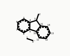 [CH2]C.[CH2]C1c2ccccc2-c2ccccc21